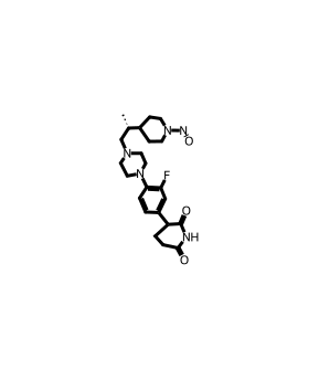 C[C@@H](CN1CCN(c2ccc(C3CCC(=O)NC3=O)cc2F)CC1)C1CCN(N=O)CC1